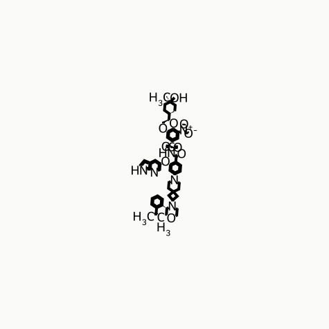 CC(C)c1ccccc1[C@H]1COCCN1C1CC2(CCN(c3ccc(C(=O)NS(=O)(=O)c4cc5c(c([N+](=O)[O-])c4)O[C@H]([C@H]4CC[C@](C)(O)CC4)CO5)c(Oc4cnc5[nH]ccc5c4)c3)CC2)C1